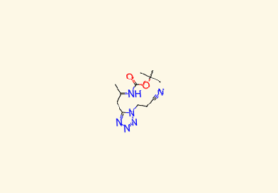 CC(Cc1nnnn1CCC#N)NC(=O)OC(C)(C)C